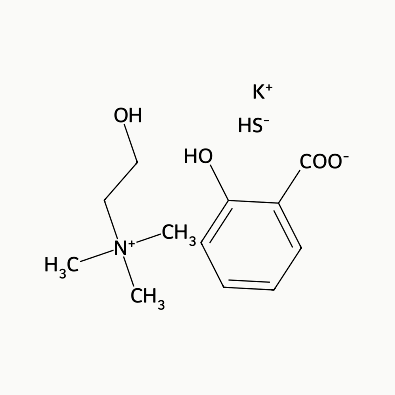 C[N+](C)(C)CCO.O=C([O-])c1ccccc1O.[K+].[SH-]